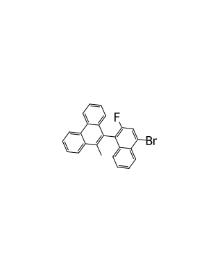 Cc1c(-c2c(F)cc(Br)c3ccccc23)c2ccccc2c2ccccc12